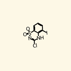 O=S1(=O)N=C(Cl)Nc2c(I)cccc21